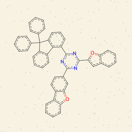 c1ccc(C2(c3ccccc3)c3ccccc3-c3c(-c4nc(-c5ccc6c(c5)oc5ccccc56)nc(-c5cc6ccccc6o5)n4)cccc32)cc1